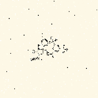 C[C@@H](OC[C@@]1(c2ccccc2)CC(N=[N+]=[N-])C(=O)N1)c1cc(C(F)(F)F)cc(C(F)(F)F)c1